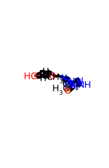 C[C@@H]1CN(CCCCCO[C@H]2CC[C@H]3[C@@H]4CCc5cc(O)ccc5[C@H]4CC[C@]23C)CCN1c1cc(C2([S@](C)(=N)=O)CC2)nc(-c2ccnc3[nH]ccc23)n1